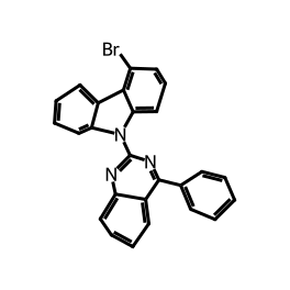 Brc1cccc2c1c1ccccc1n2-c1nc(-c2ccccc2)c2ccccc2n1